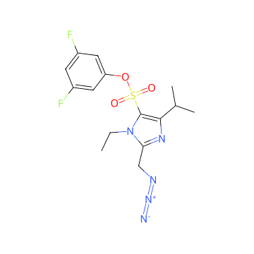 CCn1c(CN=[N+]=[N-])nc(C(C)C)c1S(=O)(=O)Oc1cc(F)cc(F)c1